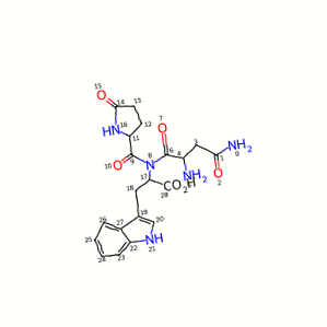 NC(=O)CC(N)C(=O)N(C(=O)C1CCC(=O)N1)C(Cc1c[nH]c2ccccc12)C(=O)O